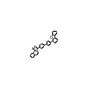 c1ccc2c(c1)ccn1c(-c3ccc(-c4ccc(-c5cccc6c5oc5ccccc56)cc4)cc3)nnc21